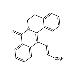 O=C(O)C=Cc1c2n(c(=O)c3ccccc13)CCc1ccccc1-2